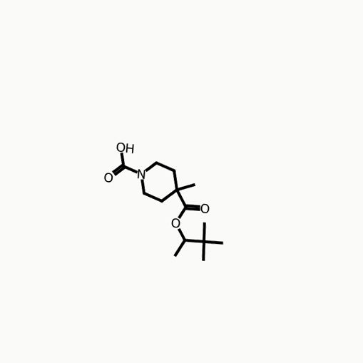 CC(OC(=O)C1(C)CCN(C(=O)O)CC1)C(C)(C)C